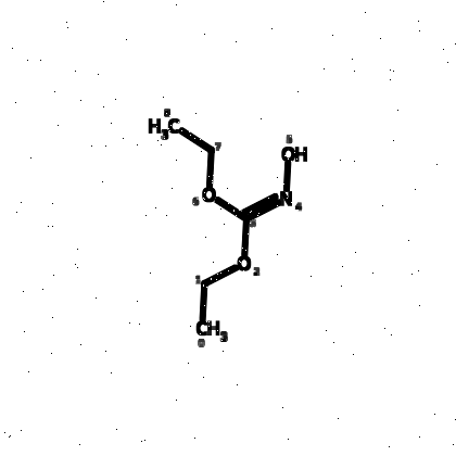 CCOC(=NO)OCC